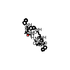 CN[C@@H](C)C(=O)N[C@H](C(=O)N1Cc2cc(NC(=O)CCCC(=O)N[C@H]3C[C@@H](C(=O)N[C@@H]4CCCc5ccccc54)N(C(=O)[C@@H](NC(=O)[C@H](C)NC)C(C)(C)C)C3)ccc2C[C@H]1C(=O)N[C@@H]1CCCc2ccccc21)C(C)(C)C